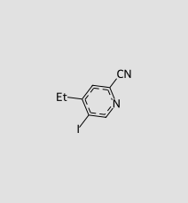 CCc1cc(C#N)ncc1I